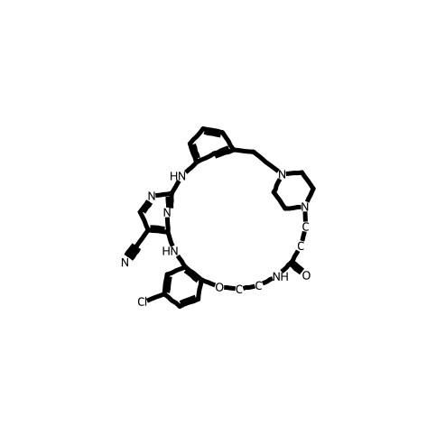 N#Cc1cnc2nc1Nc1cc(Cl)ccc1OCCNC(=O)CCN1CCN(CC1)Cc1cccc(c1)N2